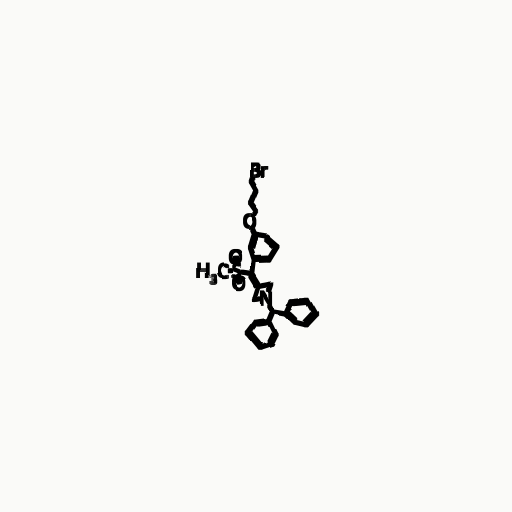 CS(=O)(=O)C(=C1CN(C(c2ccccc2)c2ccccc2)C1)c1cccc(OCCCCBr)c1